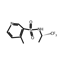 Cc1ccncc1S(=O)(=O)N[C@@H](C)C(F)(F)F